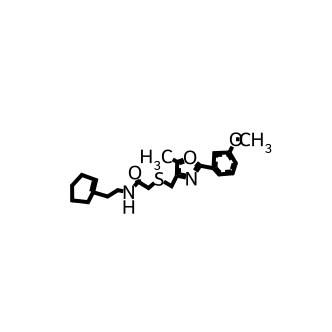 COc1cccc(-c2nc(CSCC(=O)NCCC3=CCCCC3)c(C)o2)c1